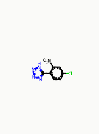 O=[N+]([O-])c1cc(Cl)ccc1-c1nnn[nH]1